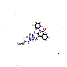 CNC(=O)CN1CCN(Cc2c(C(=O)O)c3ccccc3c(=O)n2-c2ccccc2)CC1